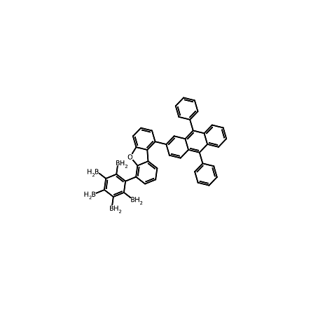 Bc1c(B)c(B)c(-c2cccc3c2oc2cccc(-c4ccc5c(-c6ccccc6)c6ccccc6c(-c6ccccc6)c5c4)c23)c(B)c1B